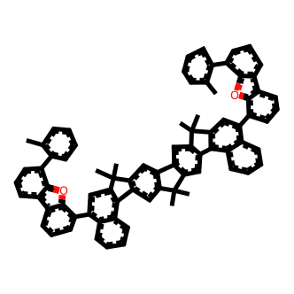 Cc1ccccc1-c1cccc2c1oc1c(-c3cc4c(c5ccccc35)-c3cc5c(cc3C4(C)C)-c3cc4c(cc3C5(C)C)-c3c(cc(-c5cccc6c5oc5c(-c7ccccc7C)cccc56)c5ccccc35)C4(C)C)cccc12